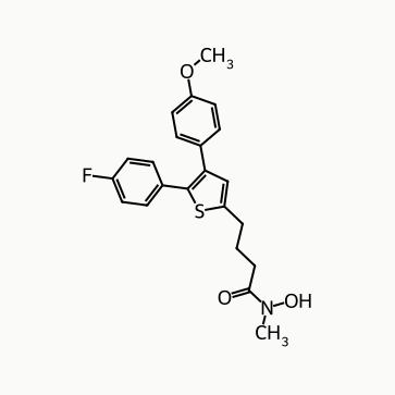 COc1ccc(-c2cc(CCCC(=O)N(C)O)sc2-c2ccc(F)cc2)cc1